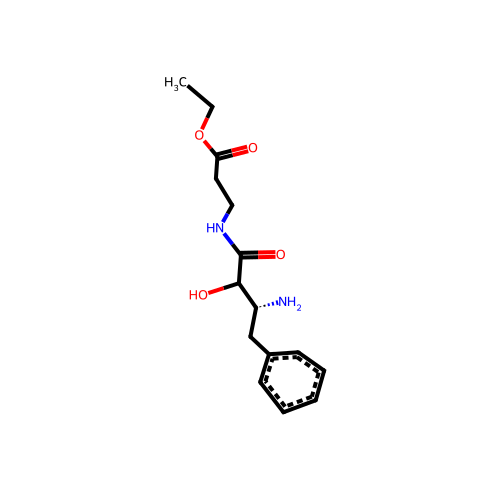 CCOC(=O)CCNC(=O)C(O)[C@H](N)Cc1ccccc1